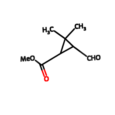 COC(=O)C1C(C=O)C1(C)C